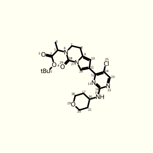 CC(C(=O)OC(C)(C)C)N1CCc2cc(-c3nc(NC4CCOCC4)ncc3Cl)cn2C1=O